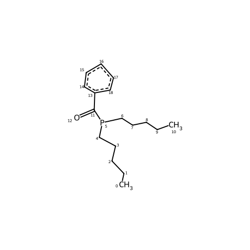 CCCCCP(CCCCC)C(=O)c1ccccc1